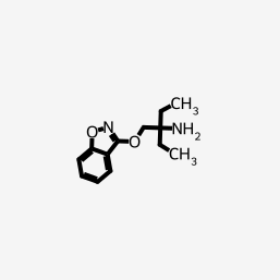 CCC(N)(CC)COc1noc2ccccc12